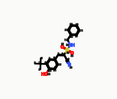 CC(C)(C)c1cc(/C=C(\C#N)S(=O)(=O)NCc2ccccc2)ccc1O